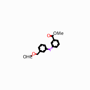 COC(=O)c1cccc([I+]c2cccc(COC=O)c2)c1